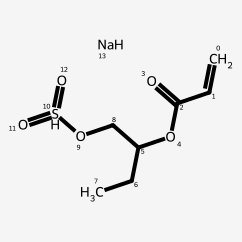 C=CC(=O)OC(CC)CO[SH](=O)=O.[NaH]